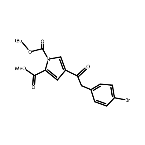 COC(=O)c1cc(C(=O)Cc2ccc(Br)cc2)cn1C(=O)OC(C)(C)C